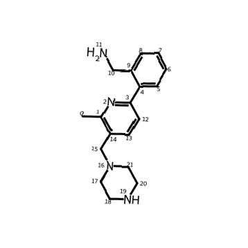 Cc1nc(-c2ccccc2CN)ccc1CN1CCNCC1